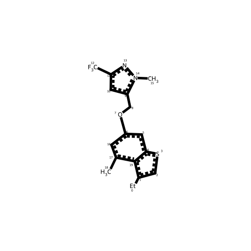 CCc1csc2cc(OCc3cc(C(F)(F)F)nn3C)cc(C)c12